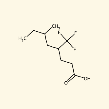 CCC(C)CC(CCC(=O)O)C(F)(F)F